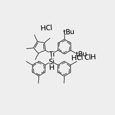 CC1=C(C)C(C)[C]([Ti]([c]2cc(C(C)(C)C)cc(C(C)(C)C)c2)[SiH](c2cc(C)cc(C)c2)c2cc(C)cc(C)c2)=C1C.Cl.Cl.Cl